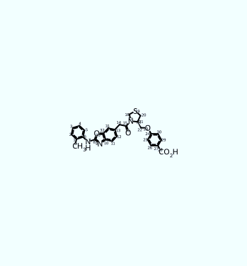 Cc1ccccc1Nc1nc2ccc(CC(=O)N3CSC[C@H]3COc3ccc(C(=O)O)cc3)cc2o1